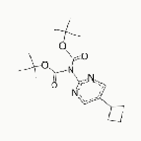 CC(C)(C)OC(=O)N(C(=O)OC(C)(C)C)c1ncc(C2CCC2)cn1